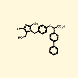 CCCCc1nc(Cl)c(CO)n1Cc1ccc(OC(C(=O)O)c2ccc(-c3ccccc3)cc2)cc1